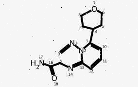 C=Nn1c(C2CCOCC2)ccc/c1=N/CC(N)=O